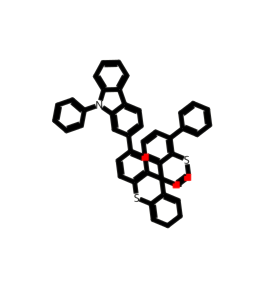 C1=C2Sc3ccc(-c4ccc5c6ccccc6n(-c6ccccc6)c5c4)cc3C3(C2=CCC1)c1ccccc1Sc1c(-c2ccccc2)cccc13